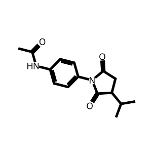 CC(=O)Nc1ccc(N2C(=O)CC(C(C)C)C2=O)cc1